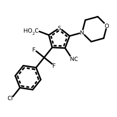 [C-]#[N+]c1c(N2CCOCC2)sc(C(=O)O)c1C(F)(F)c1ccc(Cl)cc1